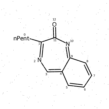 CCCCCc1ncc2ccccc2nc1=O